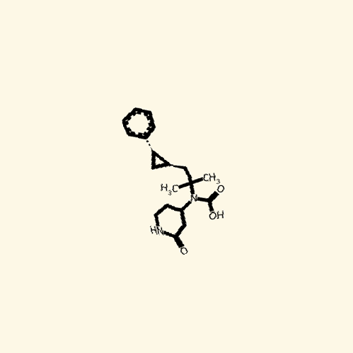 CC(C)(C[C@H]1C[C@@H]1c1ccccc1)N(C(=O)O)C1CCNC(=O)C1